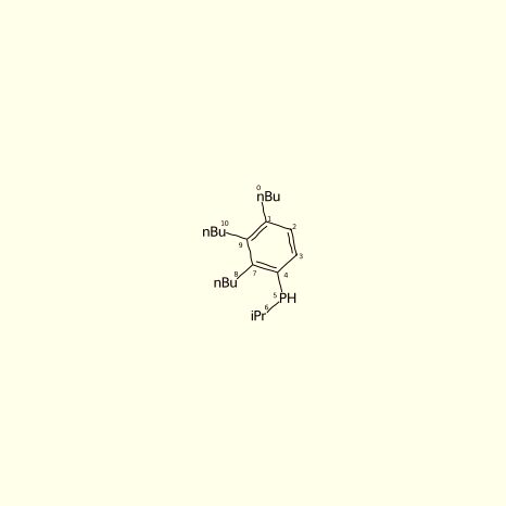 CCCCc1ccc(PC(C)C)c(CCCC)c1CCCC